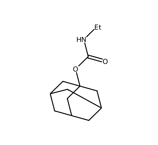 CCNC(=O)OC12CC3CC(CC(C3)C1)C2